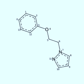 [c]1ccc(OCCn2cccn2)cc1